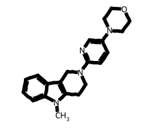 Cn1c2c(c3ccccc31)CN(c1ccc(N3CCOCC3)cn1)CC2